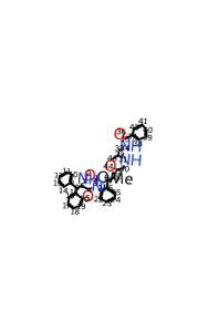 COC(=O)N(C(=O)[C@@H](N)C(c1ccccc1)c1ccccc1)c1ccccc1CC[C@@H]1CN[C@H](CNC(=O)c2ccccc2)CO1